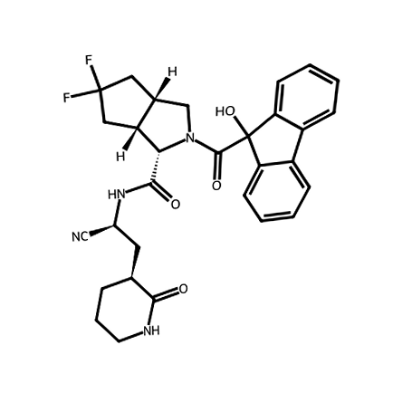 N#C[C@H](C[C@@H]1CCCNC1=O)NC(=O)[C@@H]1[C@@H]2CC(F)(F)C[C@@H]2CN1C(=O)C1(O)c2ccccc2-c2ccccc21